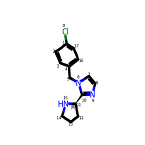 Clc1ccc(Cn2ccnc2[C@H]2CCCN2)cc1